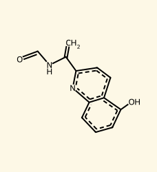 C=C(NC=O)c1ccc2c(O)cccc2n1